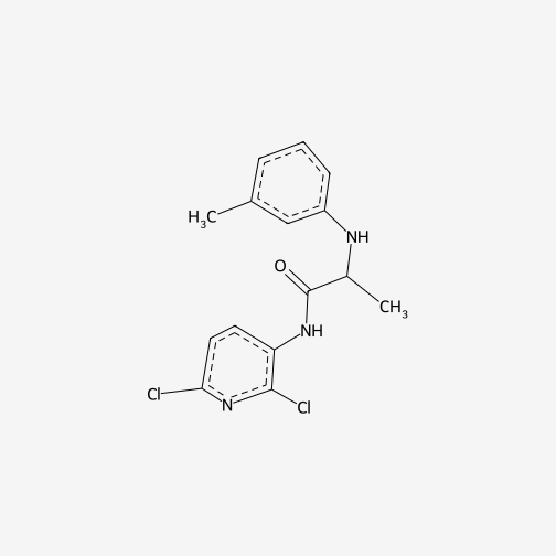 Cc1cccc(NC(C)C(=O)Nc2ccc(Cl)nc2Cl)c1